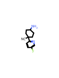 N#CC1(c2ccc(F)cn2)CCC(N)CC1